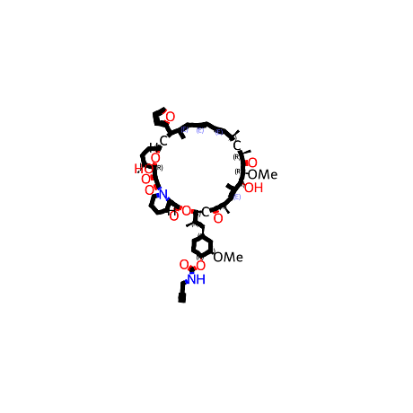 C#CCNC(=O)O[C@@H]1CC[C@@H](C[C@@H](C)[C@@H]2CC(=O)[C@H](C)/C=C(\C)[C@@H](O)[C@@H](OC)C(=O)[C@H](C)C[C@H](C)/C=C/C=C/C=C(\C)C(c3ccco3)C[C@@H]3CC[C@@H](C)[C@@](O)(O3)C(=O)C(=O)N3CCCC[C@H]3C(=O)O2)C[C@H]1OC